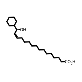 O=C(O)CCCCCCCCCCCC/C=C\[C@H](O)C1CCCCC1